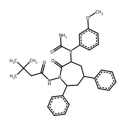 COc1cccc(N(C(N)=O)C2CC(c3ccccc3)CC(c3ccccc3)N(NC(=O)CC(C)(C)C)C2=O)c1